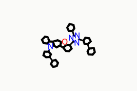 c1ccc(-c2cccc(-c3nc(-c4ccccc4)nc(-c4cccc5c4oc4cc6c7ccccc7n(-c7cccc(-c8ccccc8)c7)c6cc45)n3)c2)cc1